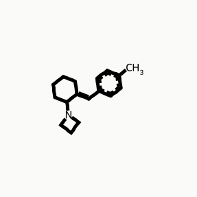 Cc1ccc(/C=C2\CCCCC2N2CCC2)cc1